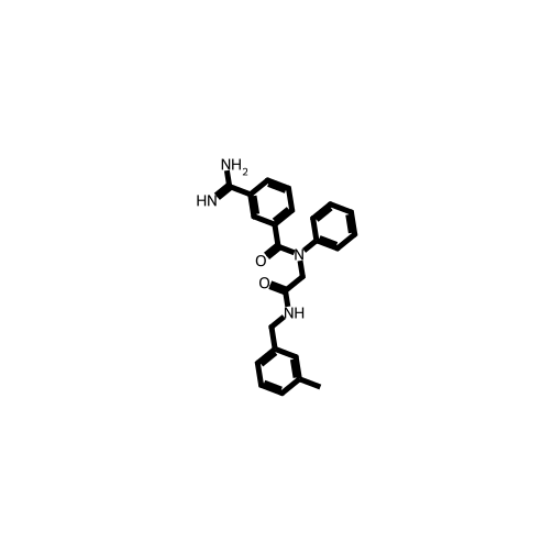 Cc1cccc(CNC(=O)CN(C(=O)c2cccc(C(=N)N)c2)c2ccccc2)c1